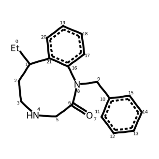 CCC1CCNCC(=O)N(Cc2ccccc2)c2ccccc21